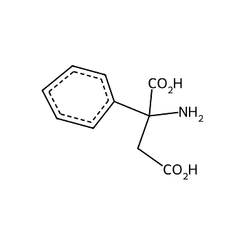 NC(CC(=O)O)(C(=O)O)c1ccccc1